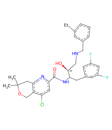 CCc1cccc(CNC[C@H](O)C(Cc2cc(F)cc(F)c2)NC(=O)c2cc(Cl)c3c(n2)CC(C)(C)OC3)c1